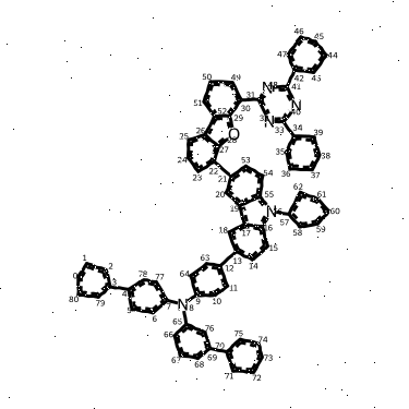 c1ccc(-c2ccc(N(c3ccc(-c4ccc5c(c4)c4cc(-c6cccc7c6oc6c(-c8nc(-c9ccccc9)nc(-c9ccccc9)n8)cccc67)ccc4n5-c4ccccc4)cc3)c3cccc(-c4ccccc4)c3)cc2)cc1